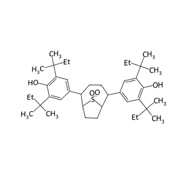 CCC(C)(C)c1cc(C2CCC(c3cc(C(C)(C)CC)c(O)c(C(C)(C)CC)c3)C3CCC2S3(=O)=O)cc(C(C)(C)CC)c1O